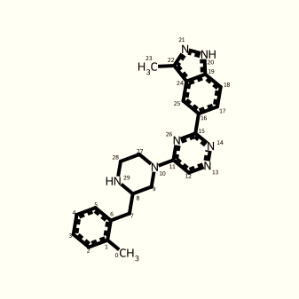 Cc1ccccc1CC1CN(c2cnnc(-c3ccc4[nH]nc(C)c4c3)n2)CCN1